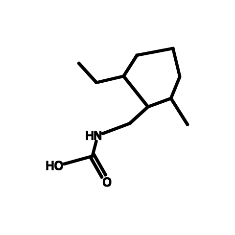 CCC1CCCC(C)C1CNC(=O)O